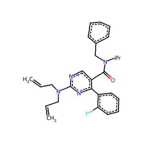 C=CCN(CC=C)c1ncc(C(=O)N(Cc2ccccc2)C(C)C)c(-c2ccccc2F)n1